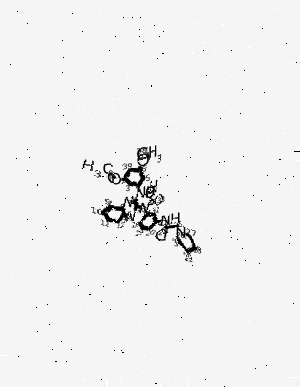 COc1cc(Nc2nc3ccccc3nc2N(c2cccc(NC(=O)CN3CCCC3)c2)[SH](=O)=O)cc(OC)c1